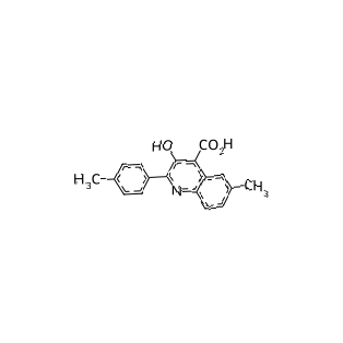 Cc1ccc(-c2nc3ccc(C)cc3c(C(=O)O)c2O)cc1